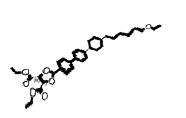 C=COCCCCCC[C@H]1CC[C@H](c2ccc(-c3ccc(C4O[C@@H](C(=O)OCC)[C@H](C(=O)OCC)O4)cc3)cc2)CC1